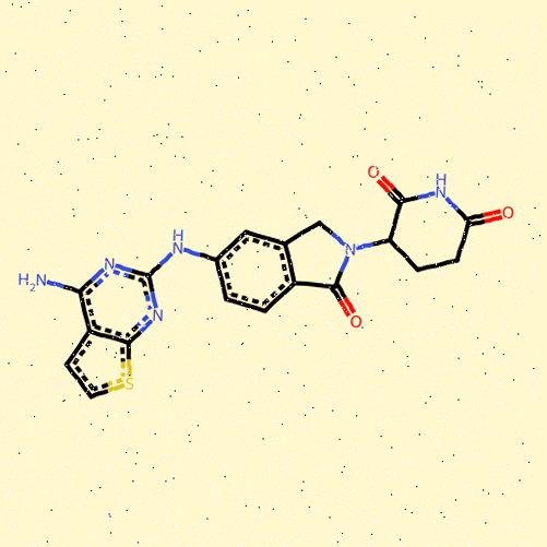 Nc1nc(Nc2ccc3c(c2)CN(C2CCC(=O)NC2=O)C3=O)nc2sccc12